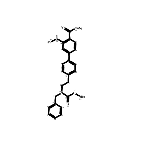 COC(=O)c1ccc(-c2ccc(CCN(Cc3ccccc3)C(=O)OC(C)(C)C)cc2)cc1NC(C)C